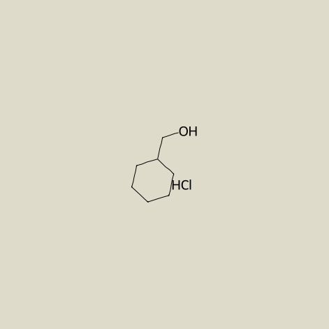 Cl.OCC1CCCCC1